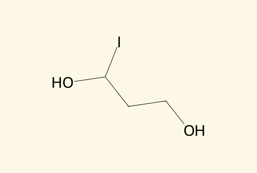 OCCC(O)I